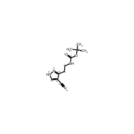 CC(C)(C)OC(=O)NCCc1n[nH]cc1C#N